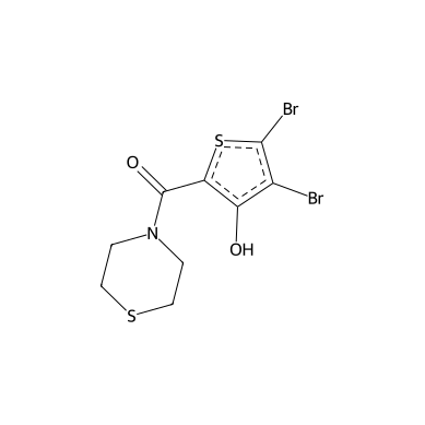 O=C(c1sc(Br)c(Br)c1O)N1CCSCC1